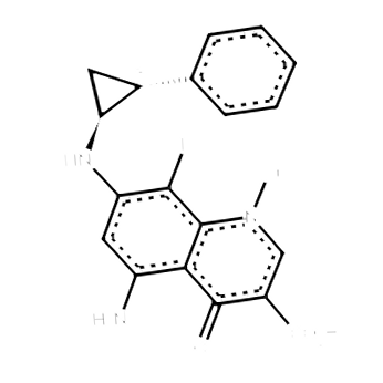 CCn1cc(C(=O)O)c(=O)c2c(N)cc(N[C@H]3C[C@@H]3c3ccccc3)c(F)c21